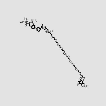 CCCN(OCC)C(=O)C1=Cc2ccc(-c3cccc(C(=O)N4CC(CNC(=O)CCOCCOCCOCCOCCOCCOCCOCCOCCOCCOCCC(=O)Oc5c(F)c(F)c(S(=O)(=O)O)c(F)c5F)C4)c3)cc2N=C(N)C1